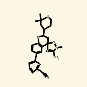 CN1OC2(CC(C3CCOC(C)(C)C3)Oc3ccc(-c4cccc(C#N)n4)cc32)N=C1N